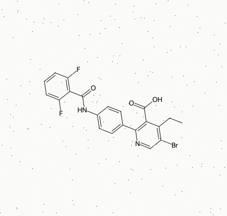 CCc1c(Br)cnc(-c2ccc(NC(=O)c3c(F)cccc3F)cc2)c1C(=O)O